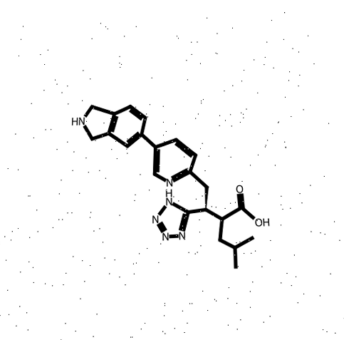 CC(C)CC(C(=O)O)[C@H](Cc1ccc(-c2ccc3c(c2)CNC3)cn1)c1nnn[nH]1